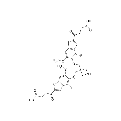 COc1cc2sc(C(=O)CCC(=O)O)cc2c(F)c1OCC1(COc2c(OC)cc3sc(C(=O)CCC(=O)O)cc3c2F)CNC1